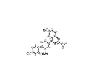 COc1cc(Cl)ccc1N1CCN(c2nc(C3CC3)nc3ccc(Br)cc23)CC1